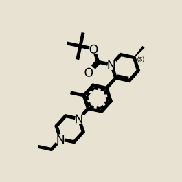 CCN1CCN(c2ccc(C3=CC[C@H](C)CN3C(=O)OC(C)(C)C)cc2C)CC1